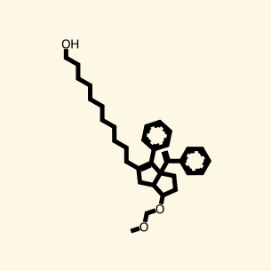 C=C(c1ccccc1)C12CCC(OCOC)C1CC(CCCCCCCCCCCO)=C2c1ccccc1